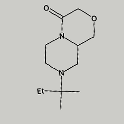 CCC(C)(C)N1CCN2C(=O)COCC2C1